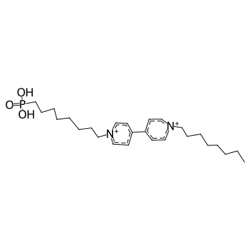 CCCCCCCC[n+]1ccc(-c2cc[n+](CCCCCCCCP(=O)(O)O)cc2)cc1